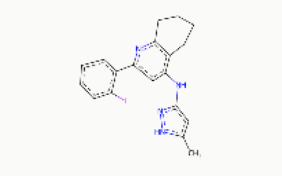 Cc1cc(Nc2cc(-c3ccccc3I)nc3c2CCCC3)n[nH]1